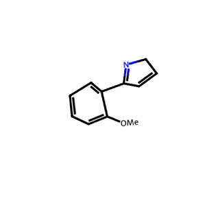 COc1ccccc1C1=NCC=C1